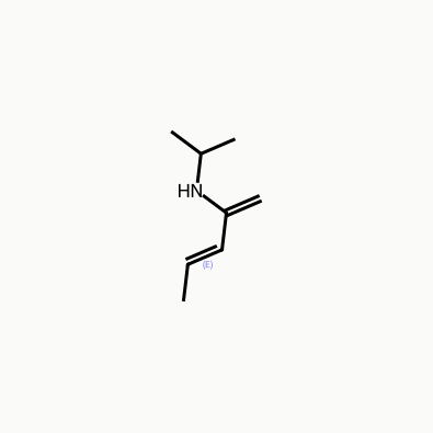 C=C(/C=C/C)NC(C)C